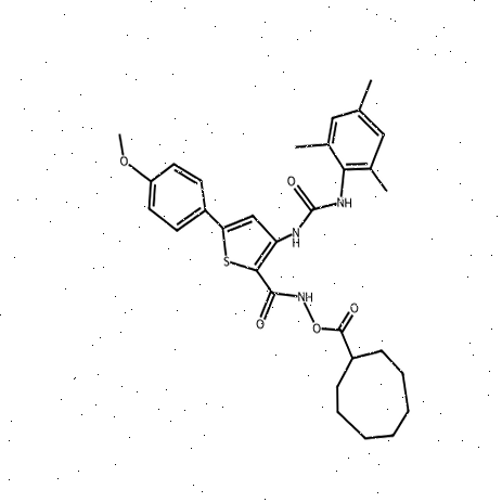 COc1ccc(-c2cc(NC(=O)Nc3c(C)cc(C)cc3C)c(C(=O)NOC(=O)C3CCCCCCC3)s2)cc1